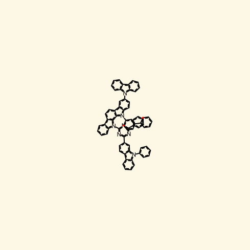 c1ccc(-c2cccc(-n3c4ccc(-n5c6ccccc6c6ccccc65)cc4c4ccc5c6ccccc6n(-c6nc(-c7ccccc7)nc(-c7ccc8c9ccccc9n(-c9ccccc9)c8c7)n6)c5c43)c2)cc1